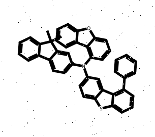 CC1(C)c2ccccc2-c2ccc(N(c3ccc4sc5cccc(-c6ccccc6)c5c4c3)c3cccc4oc5ccccc5c34)cc21